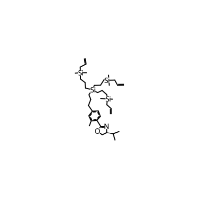 C=CC[Si](C)(C)CCC[Si](CCCc1ccc(C2=N[C@@H](C(C)C)CO2)c(C)c1)(CCC[Si](C)(C)CC=C)CCC[Si](C)(C)CC=C